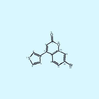 O=c1cc(-c2ccsc2)c2ccc(Br)cc2o1